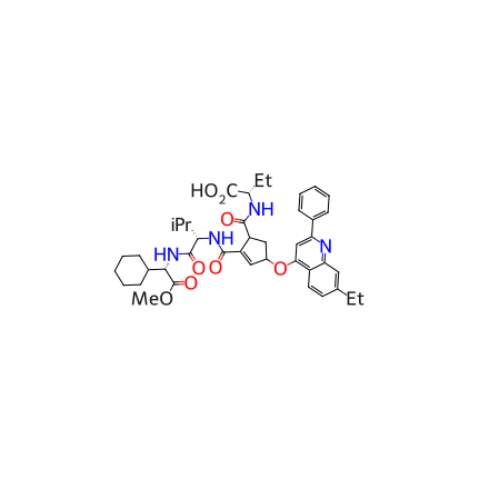 CCc1ccc2c(OC3C=C(C(=O)N[C@H](C(=O)N[C@H](C(=O)OC)C4CCCCC4)C(C)C)C(C(=O)N[C@@H](CC)C(=O)O)C3)cc(-c3ccccc3)nc2c1